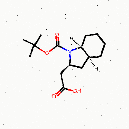 CC(C)(C)OC(=O)N1[C@H](CC(=O)O)C[C@@H]2CCCC[C@@H]21